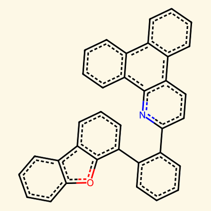 c1ccc(-c2cccc3c2oc2ccccc23)c(-c2ccc3c4ccccc4c4ccccc4c3n2)c1